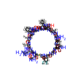 CCCC[C@H]1C(=O)N(C)[C@@H](CCCC)C(=O)N[C@@H](CCCNC(=N)N)C(=O)N[C@H](C(=O)NCC(N)=O)CSCC(=O)N[C@@H](Cc2ccc(F)c(F)c2)C(=O)N(C)[C@@H](C)C(=O)N[C@H]2CC(=O)NCC3CC[C@@H](C(=O)N[C@@H](CN)C(=O)N[C@@H](CC(C)C)C(=O)N4C[C@H](O)C[C@H]4C(=O)N[C@@H](Cc4c[nH]c5ccccc45)C(=O)N[C@@H](CO)C(=O)N[C@@H](Cc4c[nH]c5ccccc45)C(=O)N1C)N(C3)C2=O